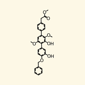 COC(=O)Cc1ccc(-c2cc(OC)c(-c3ccc(OCc4ccccc4)c(O)c3)c(O)c2OC)cc1